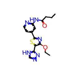 CCCC(=O)Nc1cc(-c2nc(OCC)c(-c3nnc[nH]3)s2)ccn1